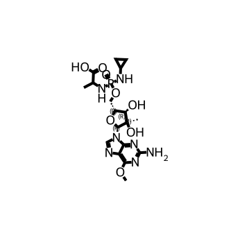 COc1nc(N)nc2c1ncn2[C@@H]1O[C@H](COP(=O)(NC2CC2)NC(C)C(=O)O)[C@@H](O)[C@@]1(C)O